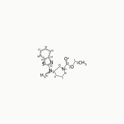 CCOC(=O)N1CCCC(N(C)c2nc3ccccc3s2)C1